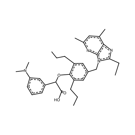 CCCc1cc(Cn2c(CC)nc3c(C)cc(C)nc32)cc(CCC)c1OC(C(=O)O)c1cccc(N(C)C)c1